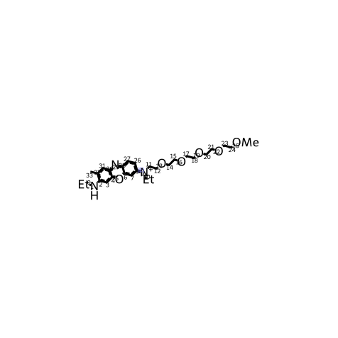 CCNc1cc2oc3c/c(=[N+](\CC)CCOCCOCCOCCOCCOC)ccc-3nc2cc1C